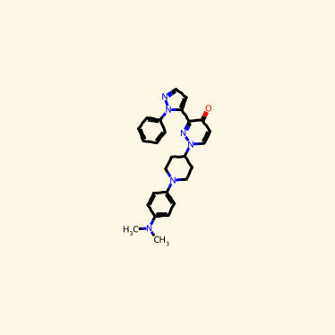 CN(C)c1ccc(N2CCC(n3ccc(=O)c(-c4ccnn4-c4ccccc4)n3)CC2)cc1